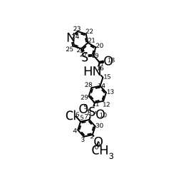 COc1ccc(Cl)c(S(=O)(=O)c2ccc(CNC(=O)c3cc4ccncc4s3)cc2)c1